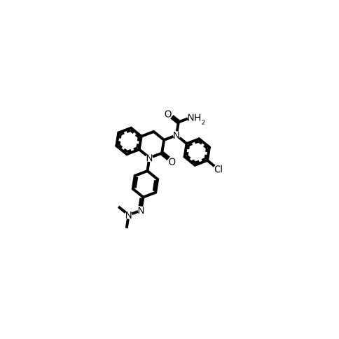 CN(C)N=C1C=CC(N2C(=O)C(N(C(N)=O)c3ccc(Cl)cc3)Cc3ccccc32)C=C1